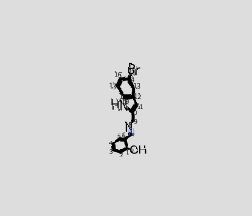 Oc1ccccc1/C=N/Cc1cc2cc(Br)ccc2[nH]1